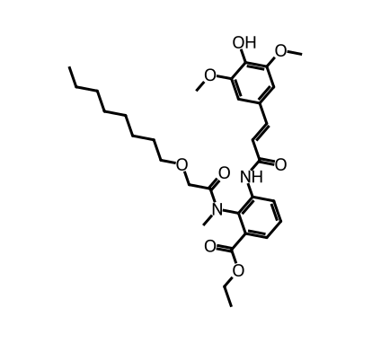 CCCCCCCCOCC(=O)N(C)c1c(NC(=O)C=Cc2cc(OC)c(O)c(OC)c2)cccc1C(=O)OCC